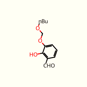 CCCCOCOc1cccc(C=O)c1O